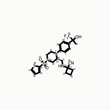 CC(O)(c1ccc(N2CCN(S(=O)(=O)c3cccs3)C[C@@H]2CNC2(C#N)CCC2)cc1)C(F)(F)F